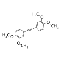 COc1ccc(C#Cc2ccc(OC)c(OC)c2)cc1OC